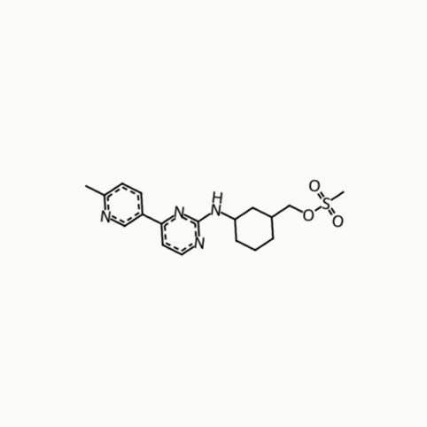 Cc1ccc(-c2ccnc(NC3CCCC(COS(C)(=O)=O)C3)n2)cn1